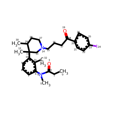 CCC(=O)N(C)c1cccc(C2(C)CN(CCCC(=O)c3ccc(I)cc3)CCC2C)c1C